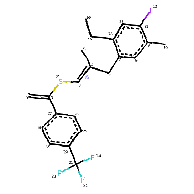 C=C(S/C=C(\C)Cc1cc(C)c(I)cc1CC)c1ccc(C(F)(F)F)cc1